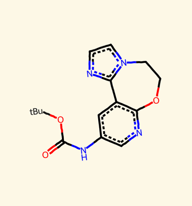 CC(C)(C)OC(=O)Nc1cnc2c(c1)-c1nccn1CCO2